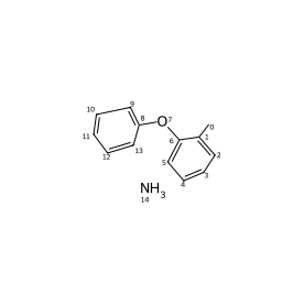 Cc1ccccc1Oc1ccccc1.N